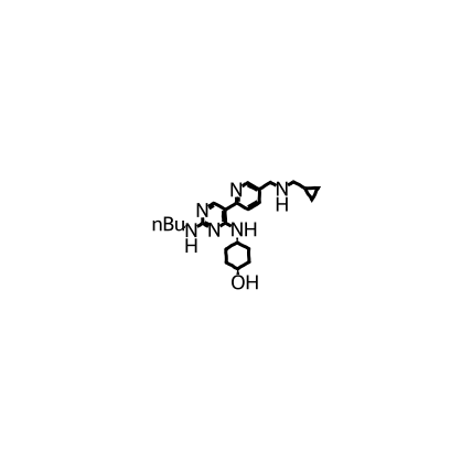 CCCCNc1ncc(-c2ccc(CNCC3CC3)cn2)c(N[C@H]2CC[C@H](O)CC2)n1